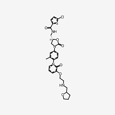 Cc1cc(N2C[C@H](CNC(=O)c3ccc(Cl)s3)OC2=O)ccc1-n1cccc(OCCNCC2CCCO2)c1=O